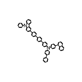 c1ccc(-c2ccc(N(c3ccc(-c4ccc(-c5ccc(-c6ccc7c(c6)c6ccccc6n7-c6ccccc6)cc5)cc4)cc3)c3ccc(-c4cccc5ccccc45)cc3)cc2)cc1